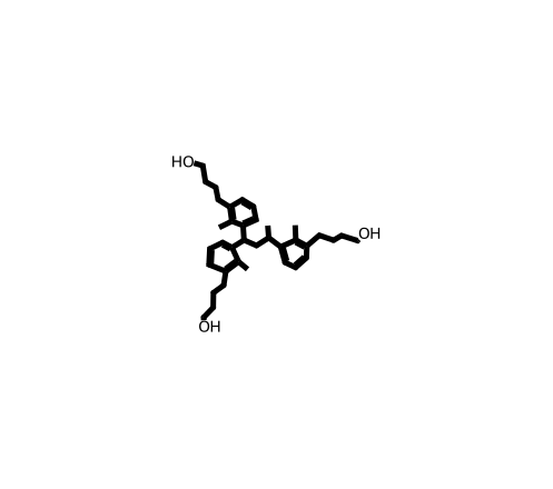 Cc1c(CCCCO)cccc1C(C)CC(c1cccc(CCCCO)c1C)c1cccc(CCCCO)c1C